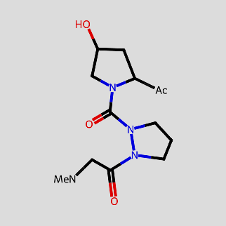 CNCC(=O)N1CCCN1C(=O)N1CC(O)CC1C(C)=O